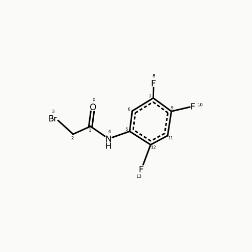 O=C(CBr)Nc1cc(F)c(F)cc1F